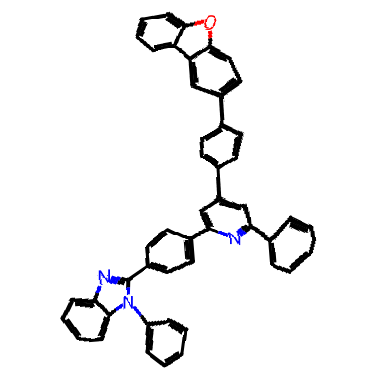 c1ccc(-c2cc(-c3ccc(-c4ccc5oc6ccccc6c5c4)cc3)cc(-c3ccc(-c4nc5ccccc5n4-c4ccccc4)cc3)n2)cc1